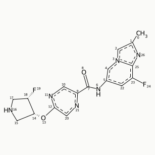 Cc1cn2cc(NC(=O)c3cnc(O[C@@H]4CNC[C@@H]4F)cn3)cc(F)c2n1